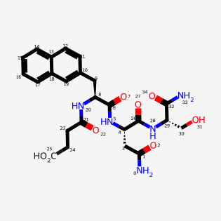 NC(=O)C[C@H](NC(=O)[C@H](Cc1ccc2ccccc2c1)NC(=O)CCC(=O)O)C(=O)N[C@@H](CO)C(N)=O